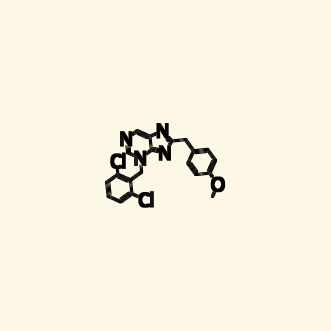 COc1ccc(Cc2nc3cncn(Cc4c(Cl)cccc4Cl)c-3n2)cc1